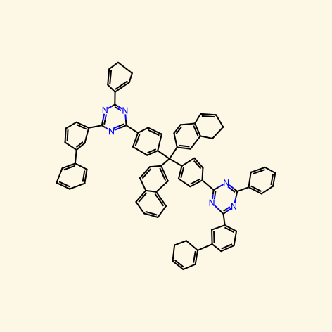 C1=CCCC(c2cccc(-c3nc(-c4ccccc4)nc(-c4ccc(C(c5ccc(-c6nc(C7=CCCC=C7)nc(-c7cccc(-c8ccccc8)c7)n6)cc5)(c5ccc6c(c5)CCC=C6)c5ccc6ccccc6c5)cc4)n3)c2)=C1